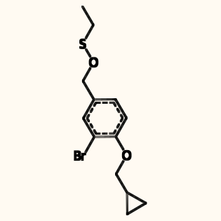 CCSOCc1ccc(OCC2CC2)c(Br)c1